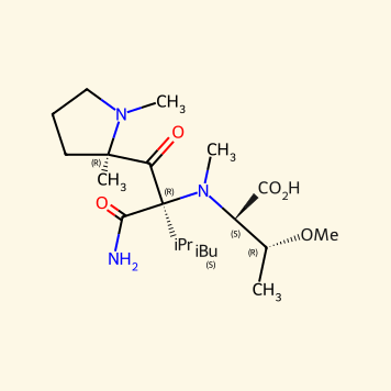 CC[C@H](C)[C@@](C(=O)O)([C@@H](C)OC)N(C)[C@@](C(N)=O)(C(=O)[C@@]1(C)CCCN1C)C(C)C